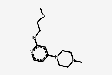 COCCNc1cc(N2CCN(C)CC2)ccn1